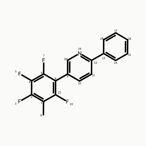 Cc1c(F)c(F)c(F)c(-c2ccc(-c3ccccc3)nc2)c1F